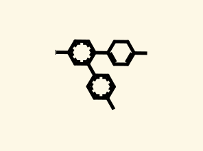 CC1=CC=C(c2ccc(I)cc2-c2ccc(C)cc2)CC1